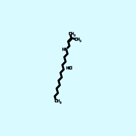 CCCCCCCCCCCCCNCC=C(C)C.Cl